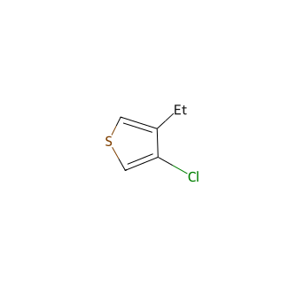 CCc1cscc1Cl